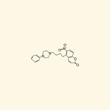 O=c1ccc2c(CCCCN3CCN(c4ccccc4)CC3)c([N+](=O)[O-])ccc2o1